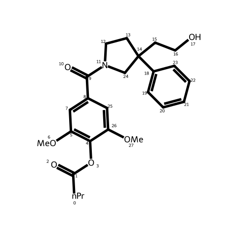 CCCC(=O)Oc1c(OC)cc(C(=O)N2CCC(CCO)(c3ccccc3)C2)cc1OC